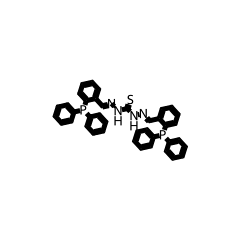 S=C(NN=Cc1ccccc1P(c1ccccc1)c1ccccc1)NN=Cc1ccccc1P(c1ccccc1)c1ccccc1